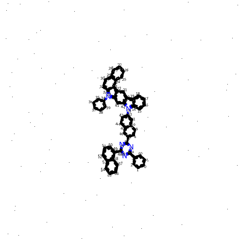 c1ccc(-c2nc(-c3ccc4cc(-n5c6ccccc6c6cc7c8c9ccccc9ccc8n(-c8ccccc8)c7cc65)ccc4c3)nc(-c3cccc4ccccc34)n2)cc1